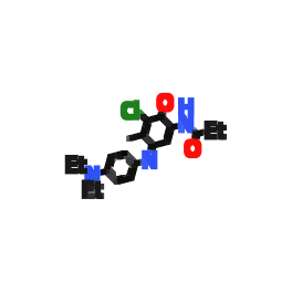 CCC(=O)NC1=CC(=Nc2ccc(N(CC)CC)cc2)C(C)=C(Cl)C1=O